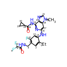 CCc1cc(CNC(=O)C(F)F)c(F)cc1Nc1cc2c(ncn2C)c(NC(=O)C2CC2)n1